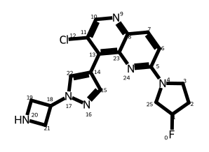 FC1CCN(c2ccc3ncc(Cl)c(-c4cnn(C5CNC5)c4)c3n2)C1